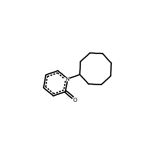 O=c1ccccn1C1CCCCCCC1